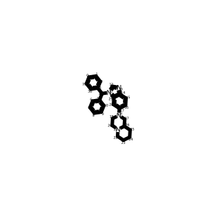 c1ccc(C(c2ccccc2)n2cnc3ccc(N4CCN5CCCCC5C4)cc32)cc1